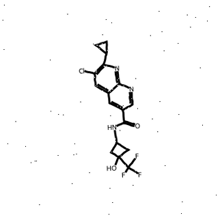 O=C(NC1CC(O)(C(F)(F)F)C1)c1cnc2nc(C3CC3)c(Cl)cc2c1